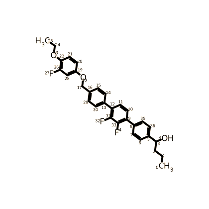 CCCC(O)c1ccc(-c2ccc(-c3ccc(COc4ccc(OCC)c(F)c4)cc3)c(F)c2F)cc1